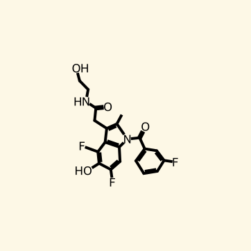 Cc1c(CC(=O)NCCO)c2c(F)c(O)c(F)cc2n1C(=O)c1cccc(F)c1